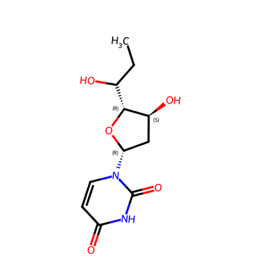 CCC(O)[C@H]1O[C@@H](n2ccc(=O)[nH]c2=O)C[C@@H]1O